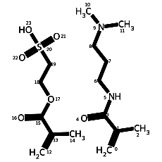 C=C(C)C(=O)NCCCN(C)C.C=C(C)C(=O)OCCS(=O)(=O)O